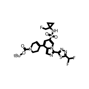 CC(C)(C)OC(=O)N1CC=C(c2cc(S(=O)(=O)NC3(CF)CC3)cn3c(-c4nnc(C(F)F)s4)ncc23)CC1